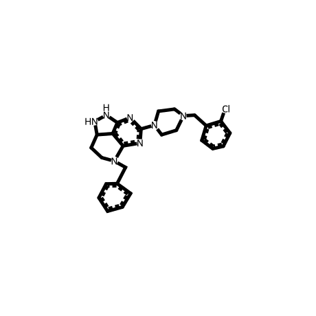 Clc1ccccc1CN1CCN(c2nc3c4c(n2)N(Cc2ccccc2)CCC4NN3)CC1